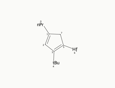 CCCC1=CC(C(C)(C)C)=[C]([Hf])C1